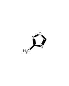 Cc1ncon1